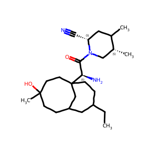 CCC1CCC2([C@H](N)C(=O)N3C[C@@H](C)C(C)C[C@H]3C#N)CCC(C)(O)CCC(C1)C2